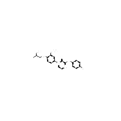 COc1cc(-n2ccnc(Sc3ccc(C(F)(F)F)cc3)c2=O)ccc1OCC(C)O